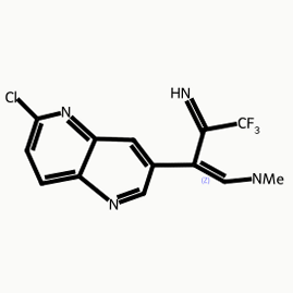 CN/C=C(\C(=N)C(F)(F)F)c1cnc2ccc(Cl)nc2c1